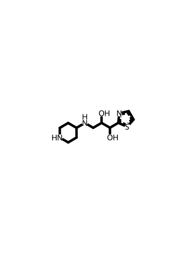 OC(CNC1CCNCC1)C(O)c1nccs1